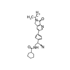 CC(C)N1Cc2cc(-c3ccc(C(C#N)CNC(=O)C4CCCCC4)cc3)cnc2C1=O